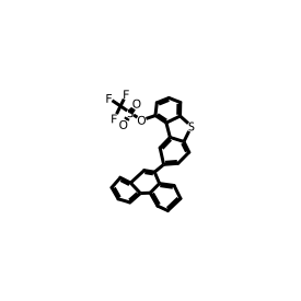 O=S(=O)(Oc1cccc2sc3ccc(-c4cc5ccccc5c5ccccc45)cc3c12)C(F)(F)F